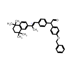 C/C(=C\c1ccc(C(C=O)c2ccc(OCc3ccccc3)cc2)cc1)c1ccc2c(c1)C(C)(C)CCC2(C)C